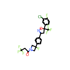 O=C(CC(F)(F)F)N1CC(F)(c2ccc(C3=NOC(c4ccc(F)c(Cl)c4)(C(F)(F)F)C3)cc2)C1